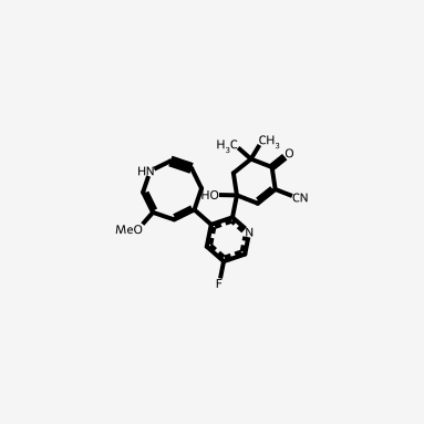 COC1=C/NC#CC/C(c2cc(F)cnc2C2(O)C=C(C#N)C(=O)C(C)(C)C2)=C\1